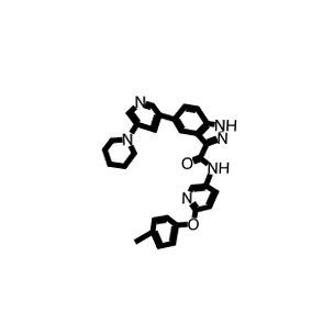 Cc1ccc(Oc2ccc(NC(=O)c3n[nH]c4ccc(-c5cncc(N6CCCCC6)c5)cc34)cn2)cc1